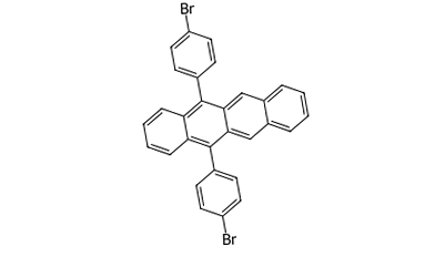 Brc1ccc(-c2c3ccccc3c(-c3ccc(Br)cc3)c3cc4ccccc4cc23)cc1